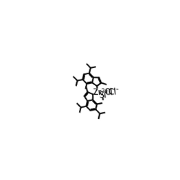 CC1=Cc2c(C(C)C)cc(C(C)C)c(C)c2[CH]1[Zr+2]([CH]1C(C)=Cc2c(C(C)C)cc(C(C)C)c(C)c21)=[Si](C)C.[Cl-].[Cl-]